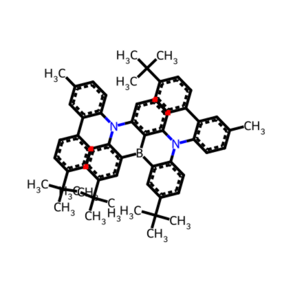 Cc1ccc(N2c3ccc(C(C)(C)C)cc3B3c4cc(C(C)(C)C)ccc4N(c4ccc(C)cc4-c4ccc(C(C)(C)C)cc4)c4cccc2c43)c(-c2ccc(C(C)(C)C)cc2)c1